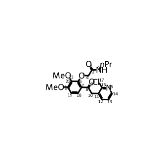 CCCNC(=O)COc1c(C(=O)Cc2cccnc2Cl)ccc(OC)c1OC